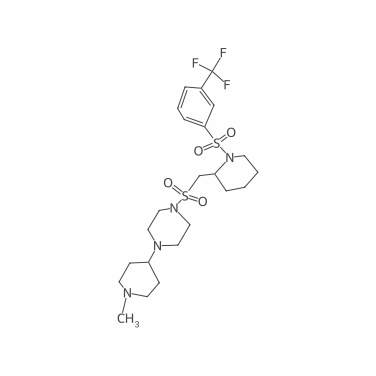 CN1CCC(N2CCN(S(=O)(=O)CC3CCCCN3S(=O)(=O)c3cccc(C(F)(F)F)c3)CC2)CC1